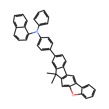 CC1(C)c2cc(-c3ccc(N(c4ccccc4)c4cccc5ccccc45)cc3)ccc2-c2cc3c(cc21)oc1ccccc13